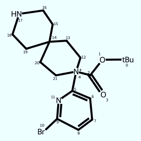 CC(C)(C)OC(=O)[N+]1(c2cccc(Br)n2)CCC2(CCNCC2)CC1